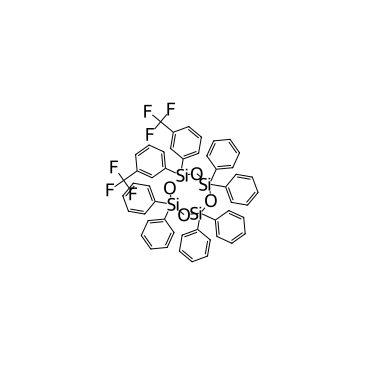 FC(F)(F)c1cccc([Si]2(c3cccc(C(F)(F)F)c3)O[Si](c3ccccc3)(c3ccccc3)O[Si](c3ccccc3)(c3ccccc3)O[Si](c3ccccc3)(c3ccccc3)O2)c1